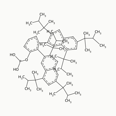 CC(C)C(C)(C)c1cc(C(C)(C)C(C)C)c2cc(-c3cccc(OP(O)O)c3-c3cc4c(C(C)(C)C(C)C)cc(C(C)(C)C(C)C)cc4cc3C(C)(C)C(C)C)c(C(C)(C)C(C)C)cc2c1